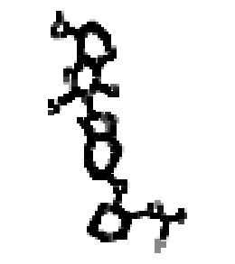 COc1ccnc2c(=O)n(-c3nc4ccc(Oc5ccccc5OC(F)F)cc4s3)c(=S)oc12